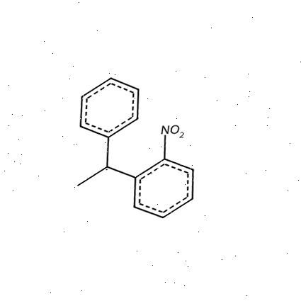 C[C](c1ccccc1)c1ccccc1[N+](=O)[O-]